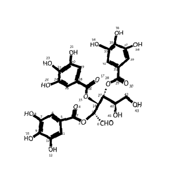 O=C[C@H](OC(=O)c1cc(O)c(O)c(O)c1)[C@@H](OC(=O)c1cc(O)c(O)c(O)c1)[C@H](OC(=O)c1cc(O)c(O)c(O)c1)[C@H](O)CO